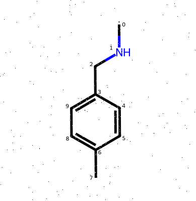 [CH2]NCc1ccc(C)cc1